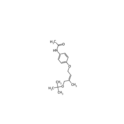 CC(=O)Nc1ccc(OCC=C(C)COC(C)(C)C)cc1